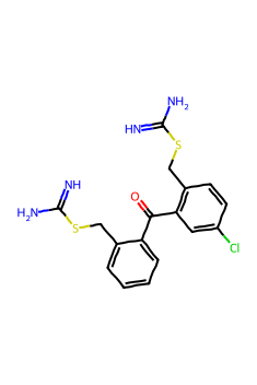 N=C(N)SCc1ccccc1C(=O)c1cc(Cl)ccc1CSC(=N)N